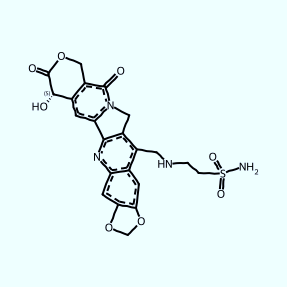 NS(=O)(=O)CCNCc1c2c(nc3cc4c(cc13)OCO4)-c1cc3c(c(=O)n1C2)COC(=O)[C@H]3O